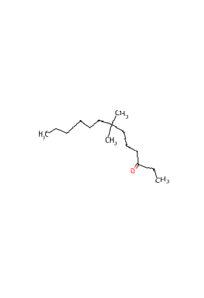 CCCCCCC(C)(C)CCCC(=O)CC